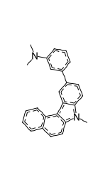 CN(C)c1cccc(-c2ccc3c(c2)c2c4ccccc4ccc2n3C)c1